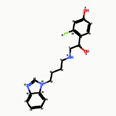 Oc1ccc(C(O)CNCCCCn2cnc3ccccc32)c(F)c1